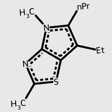 CCCc1c(CC)c2sc(C)nc2n1C